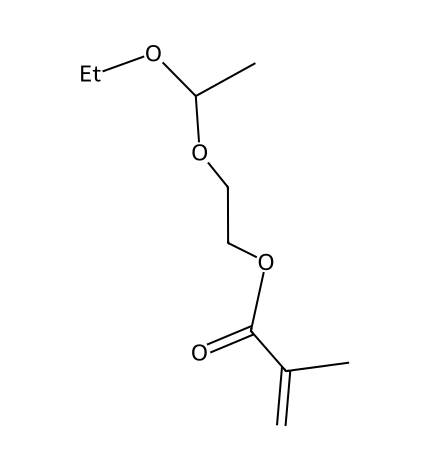 C=C(C)C(=O)OCCOC(C)OCC